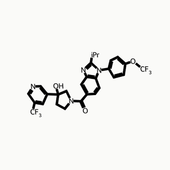 CC(C)c1nc2cc(C(=O)N3CCC(O)(c4cncc(C(F)(F)F)c4)C3)ccc2n1-c1ccc(OC(F)(F)F)cc1